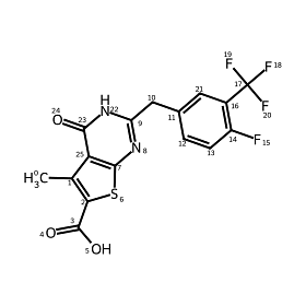 Cc1c(C(=O)O)sc2nc(Cc3ccc(F)c(C(F)(F)F)c3)[nH]c(=O)c12